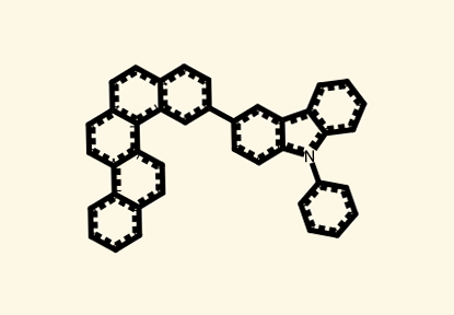 c1ccc(-n2c3ccccc3c3cc(-c4ccc5ccc6ccc7c8ccccc8ccc7c6c5c4)ccc32)cc1